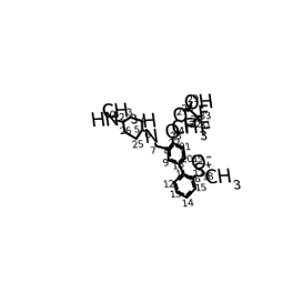 CNC1CCC(NCc2cc(-c3ccccc3[S+](C)[O-])ccc2OC)CC1.O=C(O)C(F)(F)F